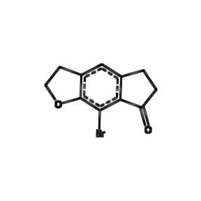 O=C1CCc2cc3c(c(Br)c21)OCC3